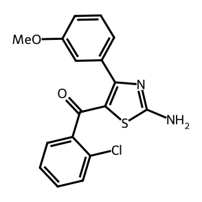 COc1cccc(-c2nc(N)sc2C(=O)c2ccccc2Cl)c1